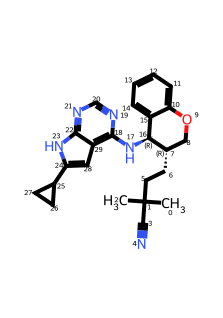 CC(C)(C#N)CC[C@H]1COc2ccccc2[C@@H]1Nc1ncnc2[nH]c(C3CC3)cc12